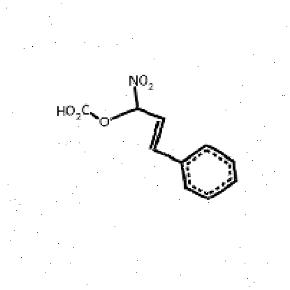 O=C(O)OC(C=Cc1ccccc1)[N+](=O)[O-]